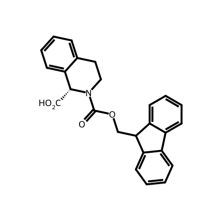 O=C(O)[C@@H]1c2ccccc2CCN1C(=O)OCC1c2ccccc2-c2ccccc21